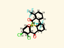 O=C(c1ccccc1[P](=O)C(=O)c1c(C(F)(F)F)cccc1C(F)(F)F)c1c(Cl)ccc(Cl)c1Cl